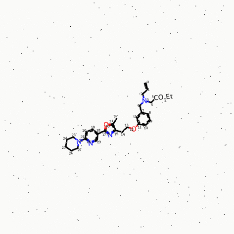 C=CCN(CC(=O)OCC)Cc1cccc(OCCc2nc(-c3ccc(N4CCCCC4)nc3)oc2C)c1